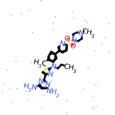 CCCN(c1nc(-c2nc(N)cc(N)n2)cs1)c1cc(-c2ccc(S(=O)(=O)N3CCN(C)CC3)nc2)ccc1C